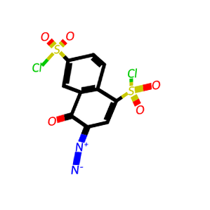 [N-]=[N+]=C1C=C(S(=O)(=O)Cl)c2ccc(S(=O)(=O)Cl)cc2C1=O